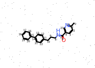 Cc1ccc(C(=O)NCCCc2ccc(-c3ccccc3)cc2)cn1